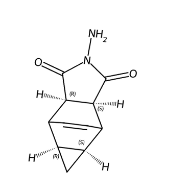 NN1C(=O)[C@@H]2C3C=CC([C@H]4C[C@@H]34)[C@@H]2C1=O